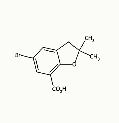 CC1(C)Cc2cc(Br)cc(C(=O)O)c2O1